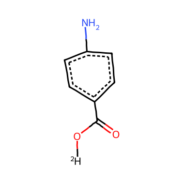 [2H]OC(=O)c1ccc(N)cc1